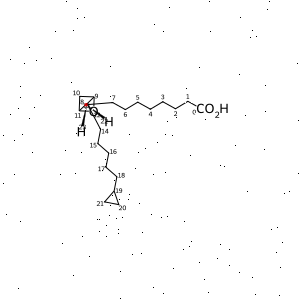 O=C(O)CCCCCCC[C@H]1C2CC(O2)[C@@H]1CCCCCC1CC1